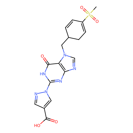 CS(=O)(=O)C1=CCC(Cn2cnc3nc(-n4cc(C(=O)O)cn4)[nH]c(=O)c32)C=C1